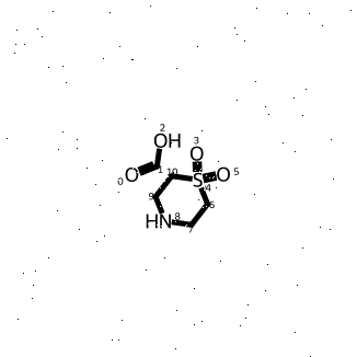 O=CO.O=S1(=O)CCNCC1